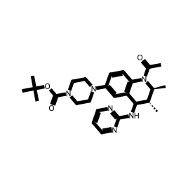 CC(=O)N1c2ccc(N3CCN(C(=O)OC(C)(C)C)CC3)cc2C(Nc2ncccn2)[C@@H](C)[C@@H]1C